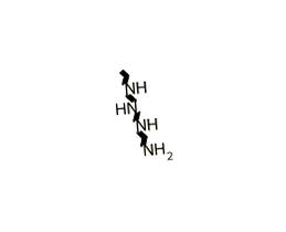 CCCNCCNCCNCCCN